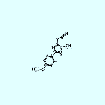 COc1ccc(-c2nc(CC#N)c(C)o2)cc1